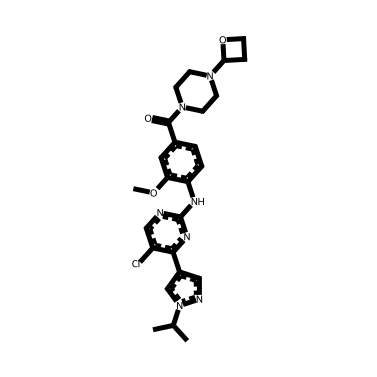 COc1cc(C(=O)N2CCN(C3CCO3)CC2)ccc1Nc1ncc(Cl)c(-c2cnn(C(C)C)c2)n1